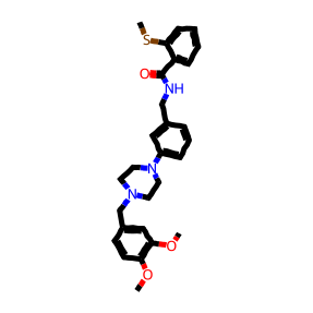 COc1ccc(CN2CCN(c3cccc(CNC(=O)c4ccccc4SC)c3)CC2)cc1OC